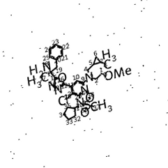 COCCN(CC1CC1C)c1cc(-c2nnc([C@](C)(N)Cc3ccccc3)o2)c(Cl)c(N(C2CCCC2)S(C)(=O)=O)n1